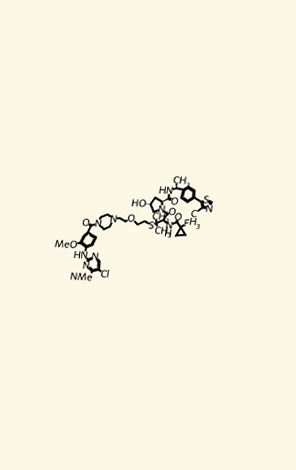 CNc1nc(Nc2ccc(C(=O)N3CCN(CCOCCSC(C)(C)C(NC(=O)C4(F)CC4)C(=O)N4C[C@H](O)C[C@H]4C(=O)N[C@@H](C)c4ccc(-c5scnc5C)cc4)CC3)cc2OC)ncc1Cl